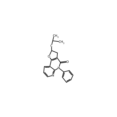 CC(C)CC1Cc2c(c3cccnc3n(-c3ccccc3)c2=O)O1